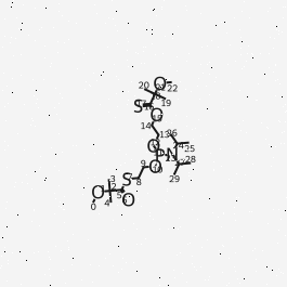 COC(C)(C)C(=O)SCCO[P@](OCCOC(=S)C(C)(C)OC)N(C(C)C)C(C)C